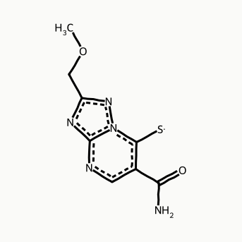 COCc1nc2ncc(C(N)=O)c([S])n2n1